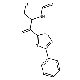 CCC(NC=O)C(=O)c1nc(-c2ccccc2)no1